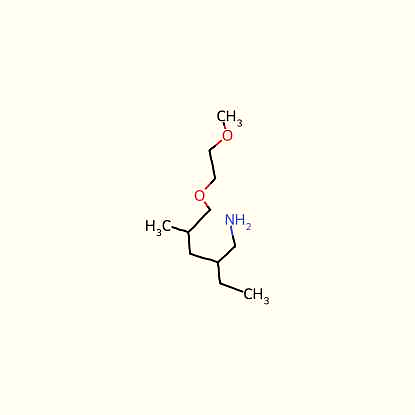 CCC(CN)CC(C)COCCOC